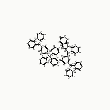 c1ccc([Si](c2ccccc2)(c2ccc(-n3c4ccccc4c4ccccc43)cc2)c2cccc(-c3cc(-n4c5ccccc5c5ccccc54)nc(-n4c5ccccc5n5c6ccccc6nc45)c3)c2)cc1